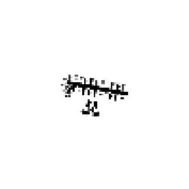 CC(F)(F)C(F)(F)C(F)(F)C(F)(F)C(F)(F)C(F)(F)C(F)(F)C(F)(F)C(F)(F)C(F)(F)C(F)(F)S(=O)(=O)[O-].CC[N+](CC)(CC)CC